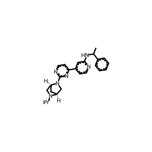 CC(Nc1cc(-c2ccnc(N3C[C@@H]4C[C@H]3CN4C(C)C)n2)ccn1)c1ccccc1